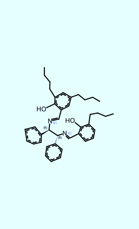 CCCCc1cc(/C=N/[C@H](c2ccccc2)[C@H](/N=C/c2cccc(CCCC)c2O)c2ccccc2)c(O)c(CCCC)c1